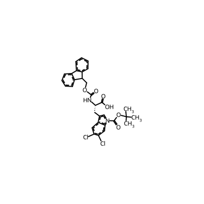 CC(C)(C)OC(=O)n1cc(C[C@H](NC(=O)OCC2c3ccccc3-c3ccccc32)C(=O)O)c2cc(Cl)c(Cl)cc21